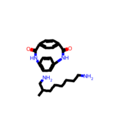 CC(CN)CCCCCCN.O=C1Nc2ccc(cc2)NC(=O)c2ccc1cc2